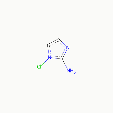 Nc1nccn1Cl